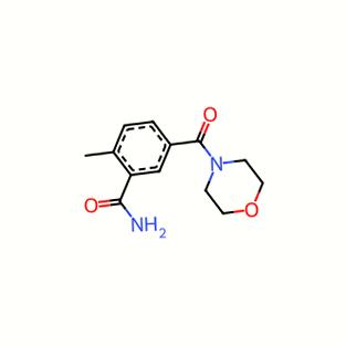 Cc1ccc(C(=O)N2CCOCC2)cc1C(N)=O